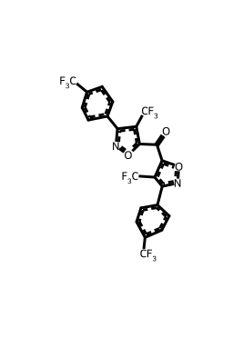 O=C(c1onc(-c2ccc(C(F)(F)F)cc2)c1C(F)(F)F)c1onc(-c2ccc(C(F)(F)F)cc2)c1C(F)(F)F